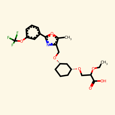 CCOC(CO[C@@H]1CCC[C@H](OCc2nc(-c3cccc(OC(F)(F)F)c3)oc2C)C1)C(=O)O